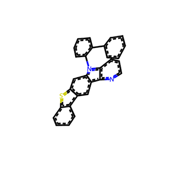 c1ccc(-c2ccccc2-n2c3cc4sc5ccccc5c4cc3c3ncccc32)cc1